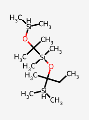 CCC(C)(O[Si](C)(C)C(C)(C)O[SiH](C)C)[SiH](C)C